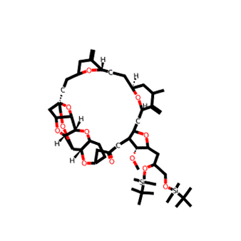 C=C1CC2CC[C@@]34CC5O[C@H]6C(O3)[C@H]3OC(CCC3O[C@H]6C5O4)CC(=O)CC3C(C[C@H]4O[C@@H](CC[C@@H]1O2)CC(C)C4=C)OC(CC(CO[Si](C)(C)C(C)(C)C)O[Si](C)(C)C(C)(C)C)[C@@H]3OC